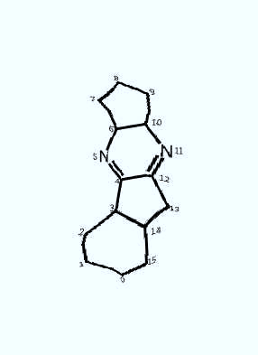 C1CCC2C3=NC4CCCC4N=C3CC2C1